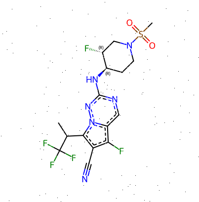 CC(c1c(C#N)c(F)c2cnc(N[C@@H]3CCN(S(C)(=O)=O)C[C@H]3F)nn12)C(F)(F)F